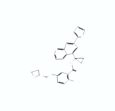 Cc1ccc(OC[C@@H]2CCN2)cc1C(=O)NC1(c2cc(-c3cccs3)cc3ncccc23)CC1